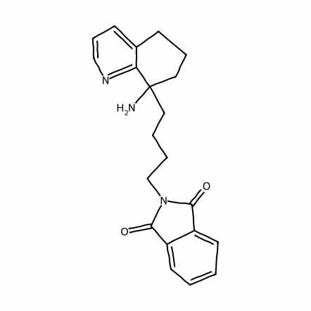 NC1(CCCCN2C(=O)c3ccccc3C2=O)CCCc2cccnc21